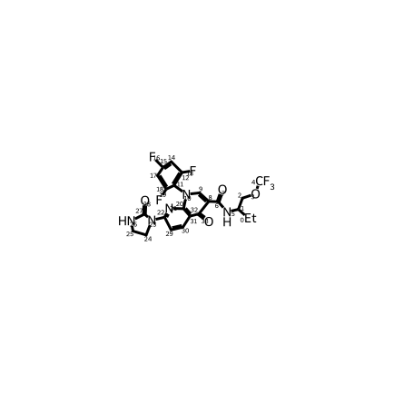 CCC(COC(F)(F)F)NC(=O)c1cn(-c2c(F)cc(F)cc2F)c2nc(N3CCNC3=O)ccc2c1=O